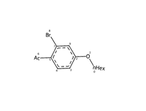 CCCCCCOc1ccc(C(C)=O)c(Br)c1